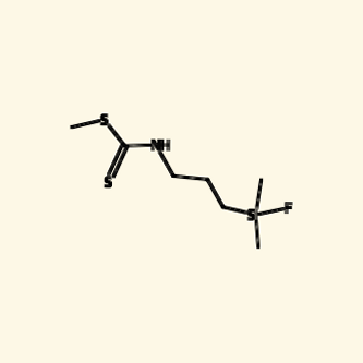 CSC(=S)NCCC[Si](C)(C)F